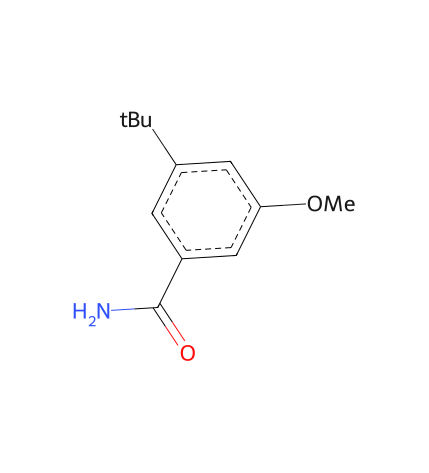 COc1cc(C(N)=O)cc(C(C)(C)C)c1